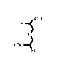 CCCCCCCCC(CC)COCC(CC)CCCCCCCC